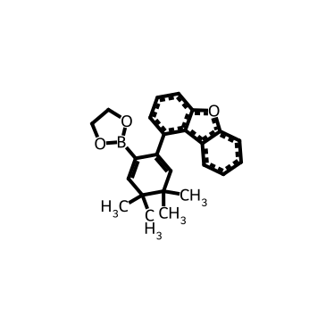 CC1(C)C=C(B2OCCO2)C(c2cccc3oc4ccccc4c23)=CC1(C)C